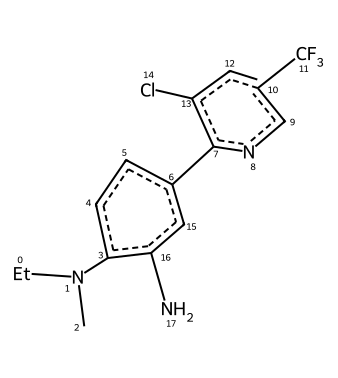 CCN(C)c1ccc(-c2ncc(C(F)(F)F)cc2Cl)cc1N